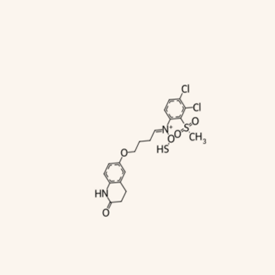 CS(=O)(=O)c1c([N+](=CCCCOc2ccc3c(c2)CCC(=O)N3)OS)ccc(Cl)c1Cl